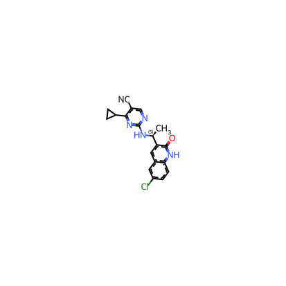 C[C@H](Nc1ncc(C#N)c(C2CC2)n1)c1cc2cc(Cl)ccc2[nH]c1=O